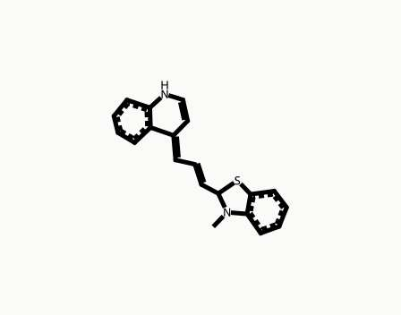 CN1c2ccccc2SC1C=CC=C1C=CNc2ccccc21